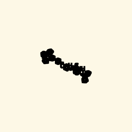 CC(NC(=O)OCC1c2ccccc2-c2ccccc21)C(=O)OCc1ccc(OCc2ccc(-c3ccc([PH](c4ccccc4)(c4ccccc4)c4ccccc4)cc3)cc2)cc1